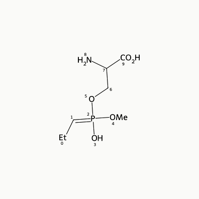 CCC=P(O)(OC)OCC(N)C(=O)O